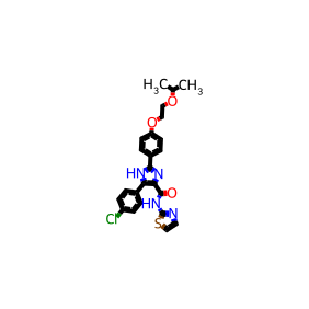 CC(C)OCCOc1ccc(-c2nc(C(=O)Nc3nccs3)c(-c3ccc(Cl)cc3)[nH]2)cc1